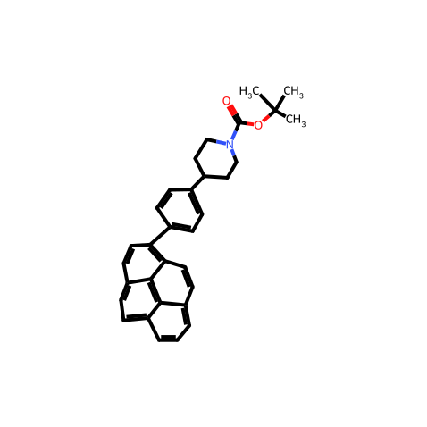 CC(C)(C)OC(=O)N1CCC(c2ccc(-c3ccc4ccc5cccc6ccc3c4c56)cc2)CC1